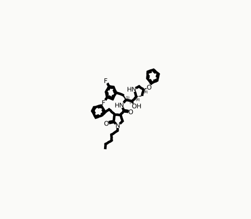 CCCCCN1CC(C(=O)N[C@@H](Cc2cc(F)cc(F)c2)[C@H](O)[C@H]2C[C@@H](Oc3ccccc3)CN2)C(Cc2ccccc2)C1=O